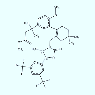 COC(=O)CC(C)(C)c1ccc(OC)c(C2=C(CN3C(=O)O[C@H](c4cc(C(F)(F)F)cc(C(F)(F)F)c4)[C@@H]3C)CC(C)(C)CC2)c1